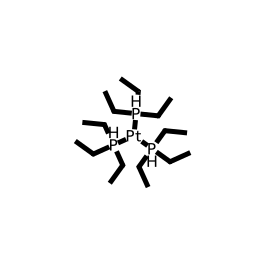 CC[PH](CC)(CC)[Pt]([PH](CC)(CC)CC)[PH](CC)(CC)CC